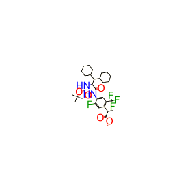 COC(=O)C(C)c1cc(F)c(NC(=O)C(NC(=O)OC(C)(C)C)C(C2CCCCC2)C2CCCCC2)cc1C(F)(F)F